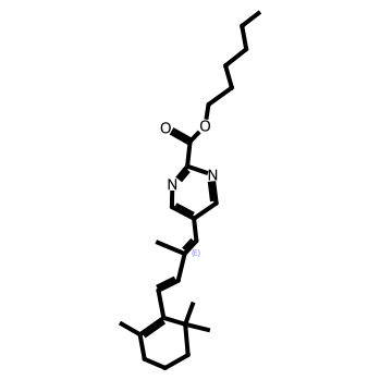 CCCCCCOC(=O)c1ncc(/C=C(\C)C=CC2=C(C)CCCC2(C)C)cn1